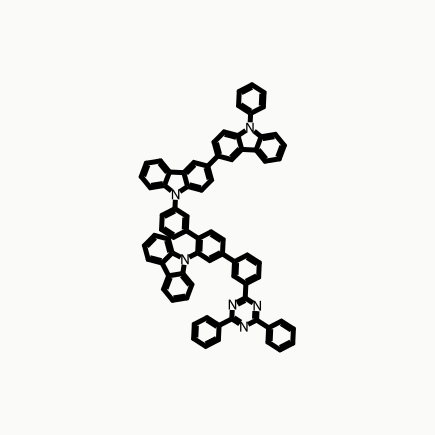 c1ccc(-c2nc(-c3ccccc3)nc(-c3cccc(-c4ccc(-c5cccc(-n6c7ccccc7c7cc(-c8ccc9c(c8)c8ccccc8n9-c8ccccc8)ccc76)c5)c(-n5c6ccccc6c6ccccc65)c4)c3)n2)cc1